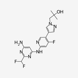 CC(C)(O)Cn1cc(-c2cnc(Nc3cc(N)nc(C(F)F)n3)cc2F)cn1